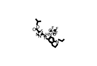 CCCN1CCCc2cc(N=Nc3nnc(C(=O)OCC(C)C)s3)c(NS(=O)(=O)C(F)(F)F)cc21